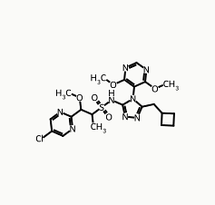 COc1ncnc(OC)c1-n1c(CC2CCC2)nnc1NS(=O)(=O)C(C)C(OC)c1ncc(Cl)cn1